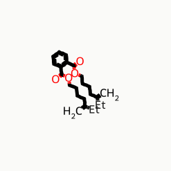 C=C(CC)CCCCOC(=O)c1ccccc1C(=O)OCCCCC(=C)CC